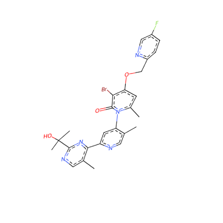 Cc1cnc(-c2nc(C(C)(C)O)ncc2C)cc1-n1c(C)cc(OCc2ccc(F)cn2)c(Br)c1=O